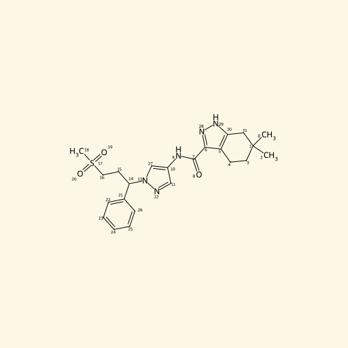 CC1(C)CCc2c(C(=O)Nc3cnn(C(CCS(C)(=O)=O)c4ccccc4)c3)n[nH]c2C1